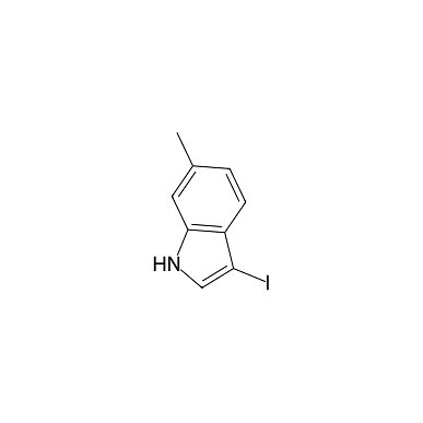 Cc1ccc2c(I)c[nH]c2c1